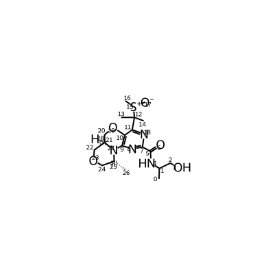 CC(CO)NC(=O)c1nc2c(c(C(C)(C)[S+](C)[O-])n1)OC[C@@H]1COC[C@@H](C)N21